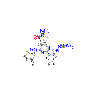 Cc1cccc(Nc2nc(N3CCCCC3CN=NN)nc3c2C(=O)N(N)C3)c1